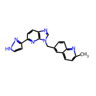 Cc1ccc2cc(Cn3cnc4ccc(-c5cc[nH]n5)nc43)ccc2n1